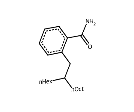 CCCCCCCCC(CCCCCC)Cc1ccccc1C(N)=O